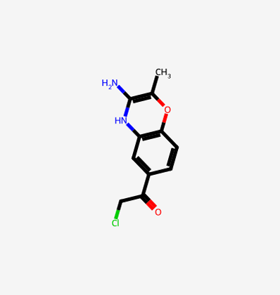 CC1=C(N)Nc2cc(C(=O)CCl)ccc2O1